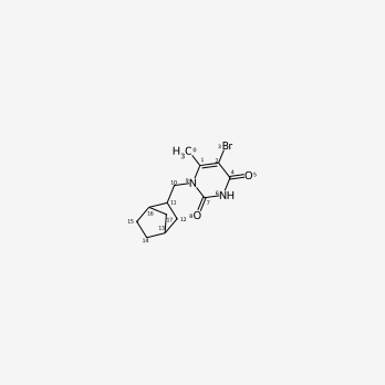 Cc1c(Br)c(=O)[nH]c(=O)n1CC1CC2CCC1C2